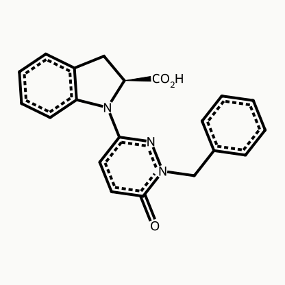 O=C(O)[C@@H]1Cc2ccccc2N1c1ccc(=O)n(Cc2ccccc2)n1